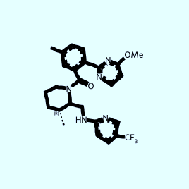 COc1ccnc(-c2ccc(C)cc2C(=O)N2CCC[C@@H](C)C2CNc2ccc(C(F)(F)F)cn2)n1